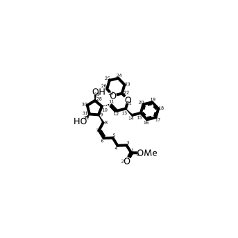 COC(=O)CCC/C=C\C[C@@H]1[C@@H](/C=C/[C@H](Cc2ccccc2)OC2CCCCO2)[C@H](O)C[C@@H]1O